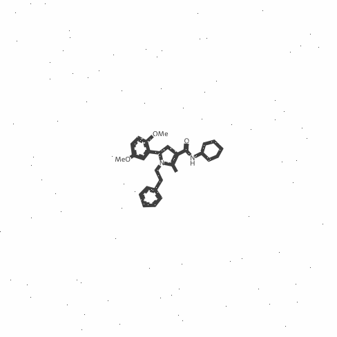 COc1ccc(OC)c(C2CC(C(=O)NC3CCCCC3)=C(C)N2CCc2ccccc2)c1